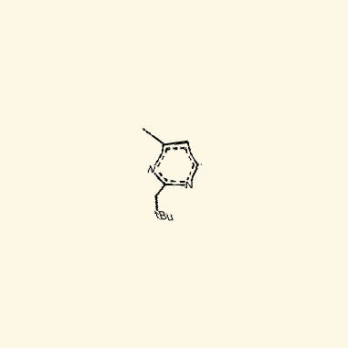 Cc1c[c]nc(C(C)(C)C)n1